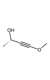 COC#C[C@H](C)O